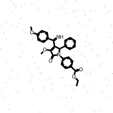 CCOC(=O)c1ccc(N2C(=O)C(OC)=C(C(=N)c3ccc(OC)cc3)C2c2ccccc2)cc1